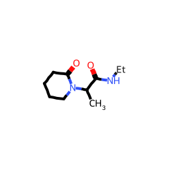 CCNC(=O)C(C)N1CCCCC1=O